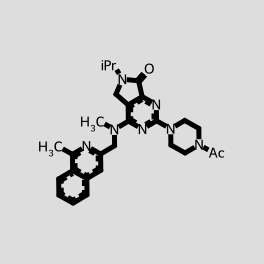 CC(=O)N1CCN(c2nc3c(c(N(C)Cc4cc5ccccc5c(C)n4)n2)CN(C(C)C)C3=O)CC1